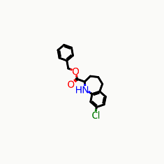 O=C(OCc1ccccc1)C1CCCc2ccc(Cl)cc2N1